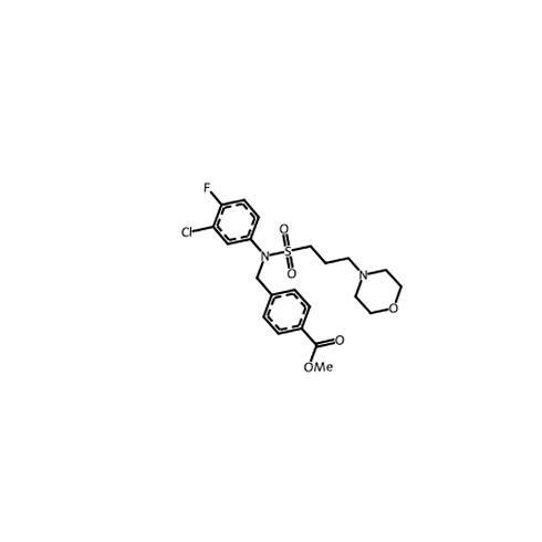 COC(=O)c1ccc(CN(c2ccc(F)c(Cl)c2)S(=O)(=O)CCCN2CCOCC2)cc1